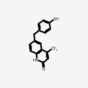 O=c1cc(C(F)(F)F)c2cc(Cc3ccc(S)cc3)ccc2[nH]1